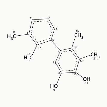 Cc1cc[c]c(-c2[c]c(O)c(O)c(C)c2C)c1C